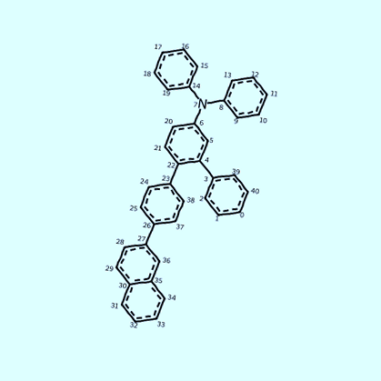 c1ccc(-c2cc(N(c3ccccc3)c3ccccc3)ccc2-c2ccc(-c3ccc4ccccc4c3)cc2)cc1